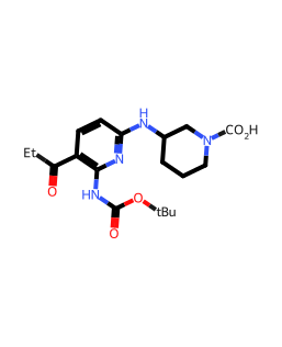 CCC(=O)c1ccc(NC2CCCN(C(=O)O)C2)nc1NC(=O)OC(C)(C)C